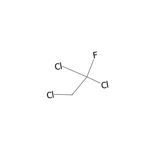 FC(Cl)(Cl)CCl